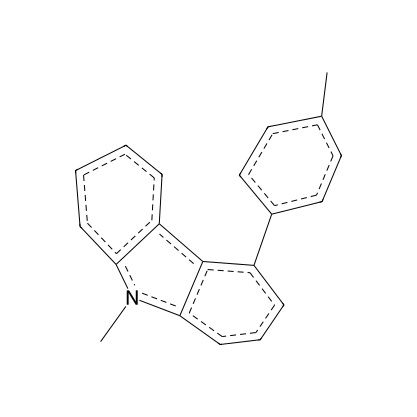 Cc1ccc(-c2cccc3c2c2ccccc2n3C)cc1